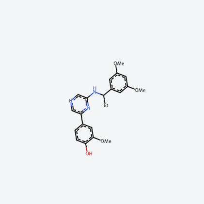 CCC(Nc1cncc(-c2ccc(O)c(OC)c2)n1)c1cc(OC)cc(OC)c1